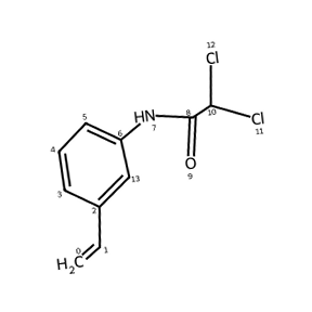 C=Cc1cccc(NC(=O)C(Cl)Cl)c1